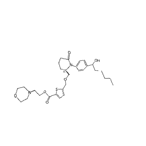 CCCCCC(O)c1ccc(N2C(=O)CCC[C@@H]2COCc2ccc(C(=O)OCCN3CCOCC3)s2)cc1